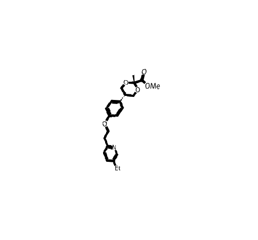 CCc1ccc(CCOc2ccc([C@H]3CO[C@@](C)(C(=O)OC)OC3)cc2)nc1